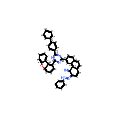 N=C1/C(=N\Nc2ccccc2)C=Cc2ccc3ccc(-c4nc(-c5ccc(-c6ccccc6)cc5)nc(-c5cccc6oc7ccccc7c56)n4)cc3c21